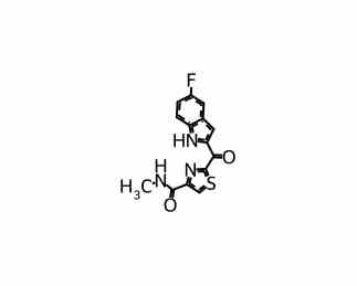 CNC(=O)c1csc(C(=O)c2cc3cc(F)ccc3[nH]2)n1